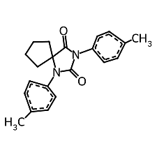 Cc1ccc(N2C(=O)N(c3ccc(C)cc3)C3(CCCC3)C2=O)cc1